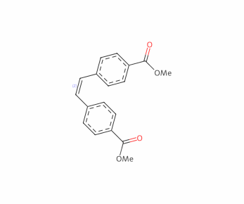 COC(=O)c1ccc(/C=C\c2ccc(C(=O)OC)cc2)cc1